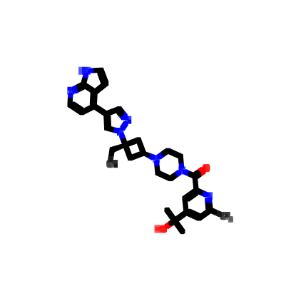 CC(C)(O)c1cc(C(=O)N2CCN([C@H]3C[C@](CC#N)(n4cc(-c5ccnc6[nH]ccc56)cn4)C3)CC2)nc(C(F)(F)F)c1